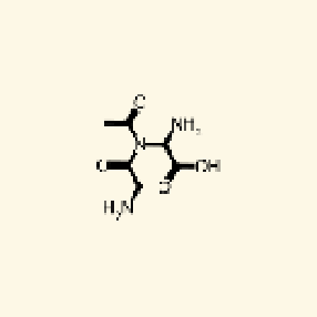 CC(=O)N(C(=O)CN)C(N)C(=O)O